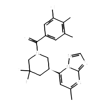 Cc1cc([C@@H]2CN(C(=O)c3cc(Cl)c(Cl)c(Cl)c3)CC(F)(F)C2)n2ncnc2n1